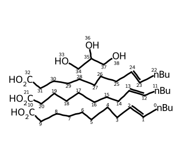 CCCCC=CCCCCCCCC(=O)O.CCCCC=CCCCCCCCC(=O)O.CCCCC=CCCCCCCCC(=O)O.OCC(O)CO